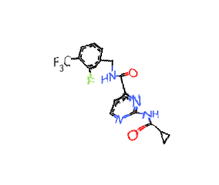 O=C(NCc1cccc(C(F)(F)F)c1F)c1ccnc(NC(=O)C2CC2)n1